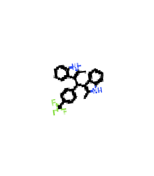 Cc1[nH]c2ccccc2c1C(c1ccc(C(F)(F)F)cc1)c1c(C)[nH]c2ccccc12